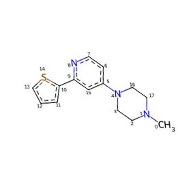 CN1CCN(c2ccnc(-c3cccs3)c2)CC1